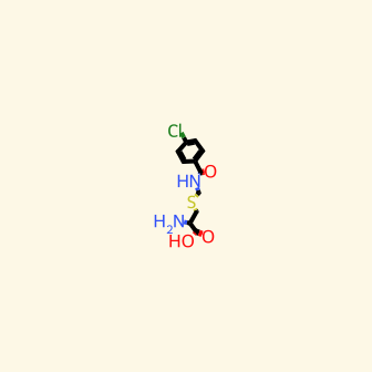 NC(CSCNC(=O)c1ccc(Cl)cc1)C(=O)O